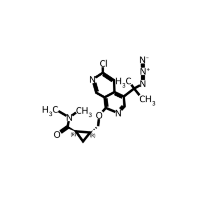 CN(C)C(=O)[C@@H]1C[C@H]1COc1ncc(C(C)(C)N=[N+]=[N-])c2cc(Cl)ncc12